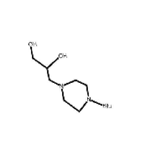 CC(C)(C)N1CCN(CC(O)CO)CC1